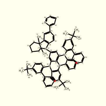 CC(C)(C)c1ccc2c(c1)B1c3ccccc3N(c3ccc(C(C)(C)C)cc3-c3ccccc3)c3cc(N4c5ccc(-c6ccccn6)cc5C5(C)CCCCC45C)cc(c31)N2c1ccc(C(C)(C)C)cc1-c1ccccc1